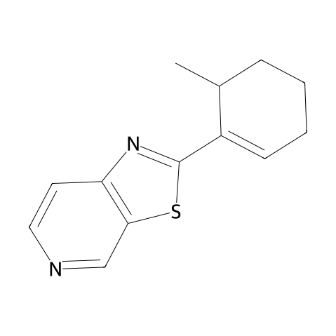 CC1CCCC=C1c1nc2ccncc2s1